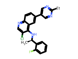 CCc1ncc(-c2ccc3ncc(Cl)c(N[C@H](C)c4ccccc4F)c3c2)cn1